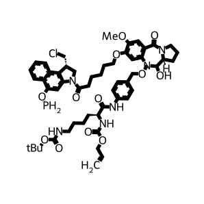 C=CCOC(=O)N[C@@H](CCCCNC(=O)OC(C)(C)C)C(=O)Nc1ccc(CON2c3cc(OCCCCCC(=O)N4C[C@@H](CCl)c5c4cc(OP)c4ccccc54)c(OC)cc3C(=O)N3CCC[C@H]3C2O)cc1